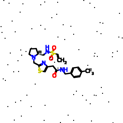 C=CS(=O)(=O)NC[C@H]1CCCN1Cc1nc(CC(=O)NCc2ccc(C(F)(F)F)cc2)cs1